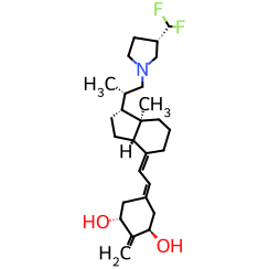 C=C1[C@H](O)CC(=C/C=C2\CCC[C@]3(C)[C@@H]([C@H](C)CN4CC[C@H](C(F)F)C4)CC[C@@H]23)C[C@H]1O